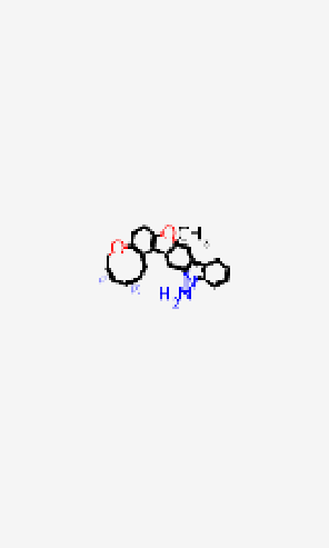 CC12C=c3c4c(n(N)c3=CC1C1=C(CCC3=C1C/C=C\C=C/CO3)O2)C=CCC4